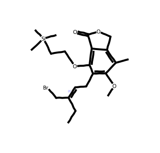 CC/C(=C\Cc1c(OC)c(C)c2c(c1OCC[Si](C)(C)C)C(=O)OC2)CBr